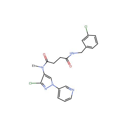 CCN(C(=O)CCC(=O)NCc1cccc(Cl)c1)c1cn(-c2cccnc2)nc1Cl